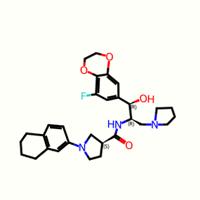 O=C(N[C@H](CN1CCCC1)[C@H](O)c1cc(F)c2c(c1)OCCO2)[C@H]1CCN(c2ccc3c(c2)CCCC3)C1